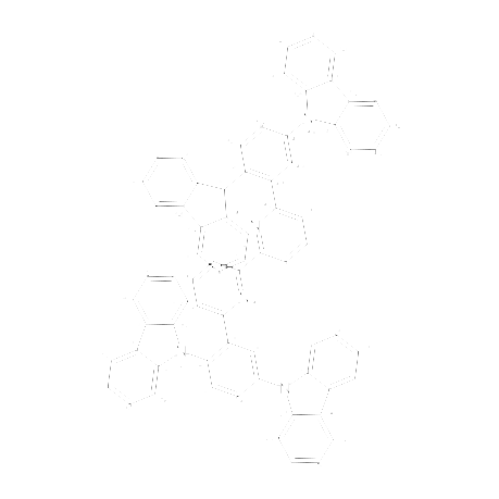 c1cc(-c2cccc(-c3cc(-n4c5ccccc5c5ccccc54)ccc3-n3c4ccccc4c4ccccc43)n2)nc(-c2cc(-n3c4ccccc4c4ccccc43)ccc2C2c3ccccc3-c3ccccc32)c1